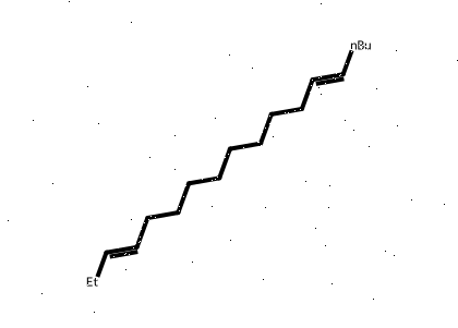 [CH2]C/C=C/CCCCCCCC/C=C/CCCC